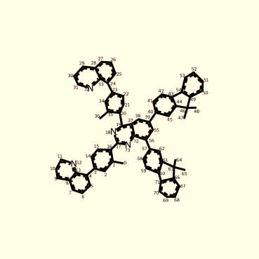 Cc1cc(-c2cccc3cccnc23)ccc1-c1nc(-c2ccc(-c3cccc4cccnc34)cc2C)c2cc(-c3ccc4c(c3)C(C)(C)c3ccccc3-4)cc(-c3ccc4c(c3)C(C)(C)c3ccccc3-4)c2n1